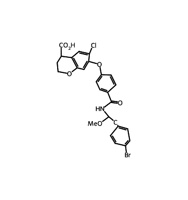 COC(Cc1ccc(Br)cc1)NC(=O)c1ccc(Oc2cc3c(cc2Cl)C(C(=O)O)CCO3)cc1